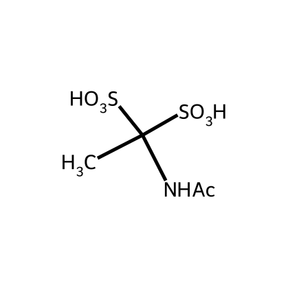 CC(=O)NC(C)(S(=O)(=O)O)S(=O)(=O)O